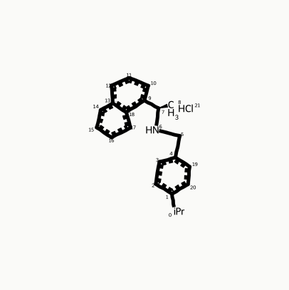 CC(C)c1ccc(CN[C@H](C)c2cccc3ccccc23)cc1.Cl